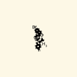 CC(C1CC1)N(Cc1ccc(F)cc1)C(=O)CN1C(=O)OC2(CCc3cc(Br)ccc32)C1=O